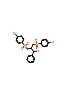 O=C(c1ccccc1)C(CS(=O)(=O)c1ccc(Cl)cc1)CS(=O)(=O)c1ccc(Cl)cc1